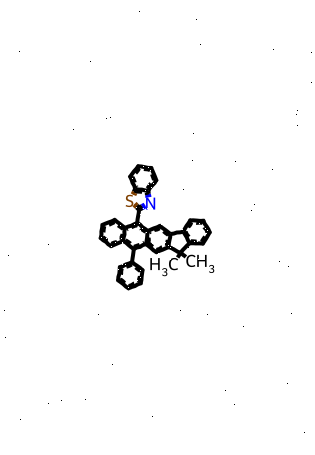 CC1(C)c2ccccc2-c2cc3c(-c4nc5ccccc5s4)c4ccccc4c(-c4ccccc4)c3cc21